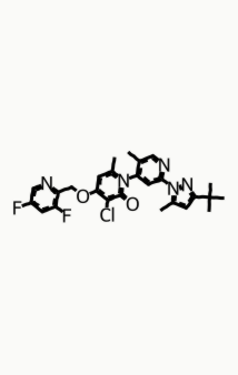 Cc1cnc(-n2nc(C(C)(C)C)cc2C)cc1-n1c(C)cc(OCc2ncc(F)cc2F)c(Cl)c1=O